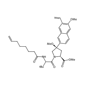 C=CCCCCCC(=O)NC(C(=O)N1C[C@](OC)(c2ccc3cc(OC)c(C=C)cc3c2)C[C@H]1C(=O)OC)C(C)(C)C